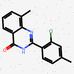 Cc1ccc(-c2nc3c(C)cccc3c(=O)[nH]2)c(Cl)c1